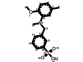 COc1ccc(C)cc1N(C)Cc1cccc(S(=O)(=O)O)c1